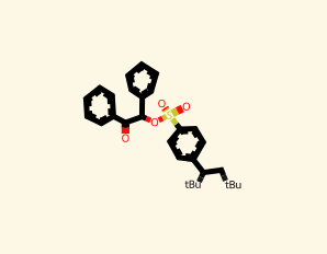 CC(C)(C)CC(c1ccc(S(=O)(=O)OC(C(=O)c2ccccc2)c2ccccc2)cc1)C(C)(C)C